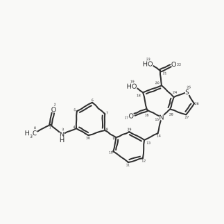 CC(=O)Nc1cccc(-c2cccc(Cn3c(=O)c(O)c(C(=O)O)c4sccc43)c2)c1